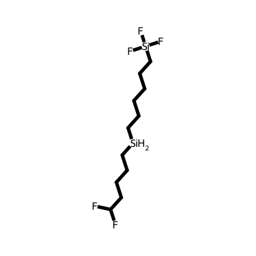 FC(F)CCCC[SiH2]CCCCCC[Si](F)(F)F